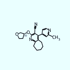 Cc1cc(-c2c(C#N)c(O[C@H]3CCOC3)nc3c2CCCCC3)ccn1